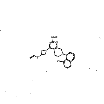 C=CSC1CN(c2nc(OC)nc3c2CCN(c2cccc4cccc(Cl)c24)C3)C1